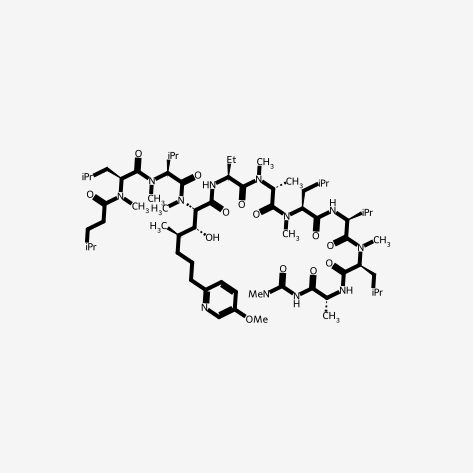 CC[C@H](NC(=O)[C@H]([C@H](O)[C@H](C)CCCc1ccc(OC)cn1)N(C)C(=O)[C@H](C(C)C)N(C)C(=O)[C@H](CC(C)C)N(C)C(=O)CCC(C)C)C(=O)N(C)[C@H](C)C(=O)N(C)[C@@H](CC(C)C)C(=O)N[C@H](C(=O)N(C)[C@@H](CC(C)C)C(=O)N[C@H](C)C(=O)NC(=O)NC)C(C)C